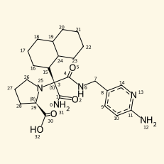 NC(=O)[C@](C(=O)NCc1ccc(N)nc1)(C1CCCC2CCCCC21)N1CCC[C@@H]1C(=O)O